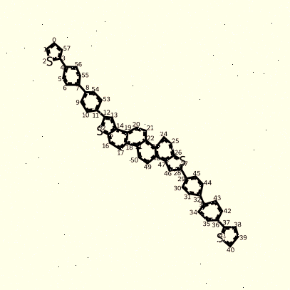 c1csc(-c2ccc(-c3ccc(-c4cc5c(ccc6c5ccc5c7ccc8sc(-c9ccc(-c%10ccc(-c%11cccs%11)cc%10)cc9)cc8c7ccc65)s4)cc3)cc2)c1